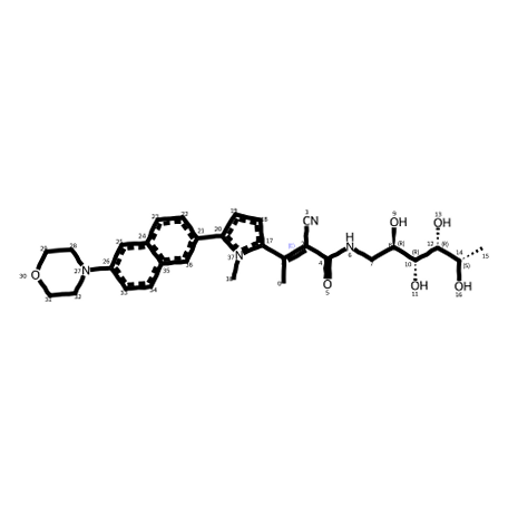 C/C(=C(/C#N)C(=O)NC[C@@H](O)[C@@H](O)[C@H](O)[C@H](C)O)c1ccc(-c2ccc3cc(N4CCOCC4)ccc3c2)n1C